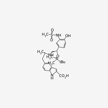 C[C@H](Cc1ccc2[nH]c(C(=O)O)cc2c1)NC[C@H](O[Si](C)(C)C(C)(C)C)c1ccc(O)c(NS(C)(=O)=O)c1